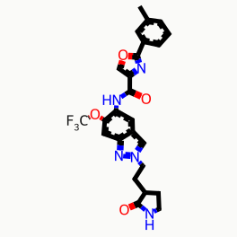 Cc1cccc(-c2nc(C(=O)Nc3cc4cn(CCC5CCNC5=O)nc4cc3OC(F)(F)F)co2)c1